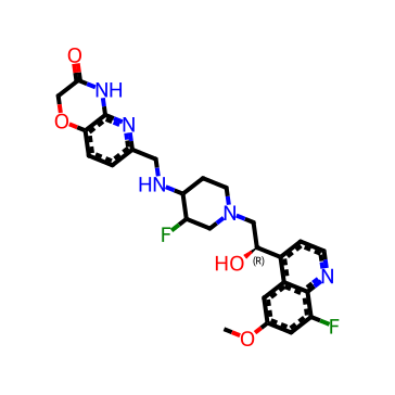 COc1cc(F)c2nccc([C@@H](O)CN3CCC(NCc4ccc5c(n4)NC(=O)CO5)C(F)C3)c2c1